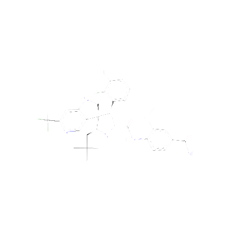 COc1cc(C(N)=O)ccc1NC(=O)[C@@H]1N[C@@H](CC(C)(C)C)[C@@]2(CNc3cc(C(F)(F)F)ncc32)[C@H]1c1cccc(Cl)c1F